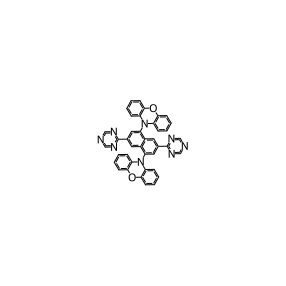 c1ccc2c(c1)Oc1ccccc1N2c1cc(-c2ncncn2)cc2c(N3c4ccccc4Oc4ccccc43)cc(-c3ncncn3)cc12